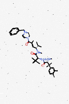 CN[C@@H](C(=O)N[C@H](C(=O)N(C)[C@H](/C=C(\C)C(=O)N1CCN(Cc2ccccc2)CC1)C(C)C)C(C)(C)C)C(C)(C)c1ccc(C)c(C)c1